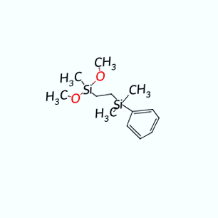 CO[Si](C)(CC[Si](C)(C)c1ccccc1)OC